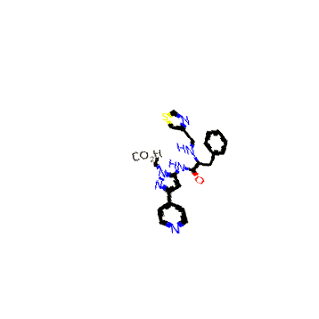 O=C(O)Cn1nc(-c2ccncc2)cc1NC(=O)C(Cc1ccccc1)NCc1cscn1